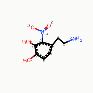 NCCc1ccc(O)c(O)c1[N+](=O)[O-]